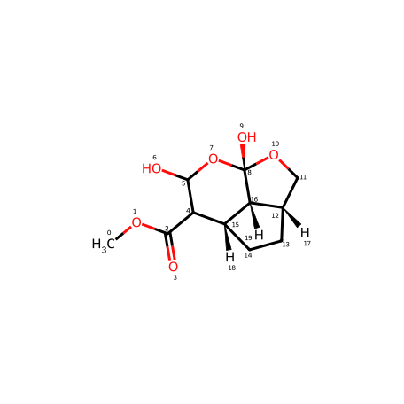 COC(=O)C1C(O)O[C@]2(O)OC[C@@H]3CC[C@H]1[C@@H]32